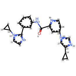 O=C(Nc1cccc(-c2nccn2C2CC2)c1)c1cc(-n2cnc(C3CC3)c2)ccn1